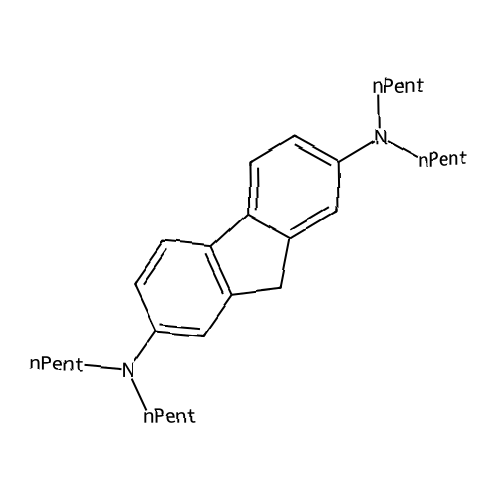 CCCCCN(CCCCC)c1ccc2c(c1)Cc1cc(N(CCCCC)CCCCC)ccc1-2